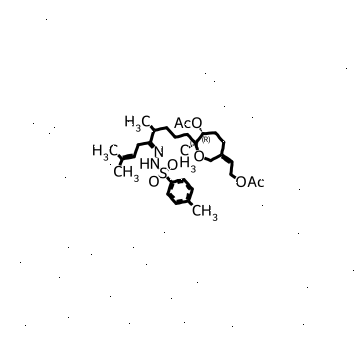 CC(=O)OCC=C1CC[C@@H](OC(C)=O)[C@](C)(CCCC(C)C(CC=C(C)C)=NNS(=O)(=O)c2ccc(C)cc2)OC1